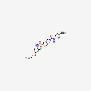 CC(C)(C)CCOc1ccc(NS(=O)(=O)c2ccc3c(c2)CN(C(=O)Nc2ccc(C(C)(C)C)cc2)C3)c(F)c1